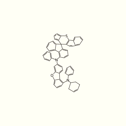 C1=CCC(N(c2ccccc2)c2cccc3oc4cc(N(c5ccccc5)c5cccc6c5-c5ccccc5C65c6ccccc6Sc6c5ccc5ccccc65)ccc4c23)CC1